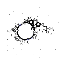 CO[C@H]1/C=C/O[C@@]2(C)Oc3c(C)c(O)c4c(=O)c(c5oc6cc(OCCN(C)C(C)C)cc(O)c6nc-5c4c3C2=O)NC(=O)/C(C)=C\C=C\[C@H](C)[C@H](O)[C@@H](C)[C@@H](O)[C@@H](C)[C@H](OC(C)=O)[C@@H]1C